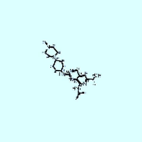 CC(C)Nc1nc([C@@H](C)O)cc2cnc(NC3CCC(N4CCN(C)CC4)CC3)nc12